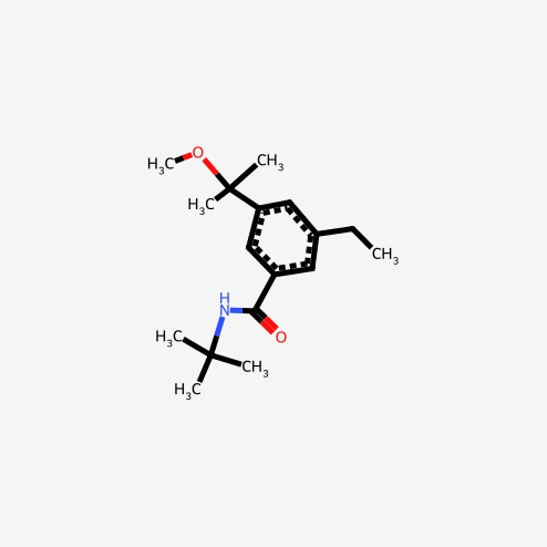 CCc1cc(C(=O)NC(C)(C)C)cc(C(C)(C)OC)c1